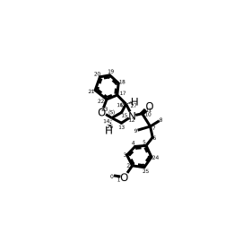 COc1ccc(CC(C)(C)C(=O)N2C[C@@H]3C[C@H]2c2ccccc2O3)cc1